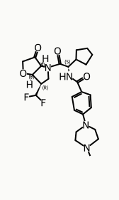 CN1CCN(c2ccc(C(=O)N[C@H](C(=O)N3C[C@@H](C(F)F)[C@H]4OCC(=O)[C@H]43)C3CCCC3)cc2)CC1